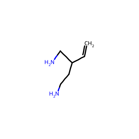 C=CC(CN)CCN